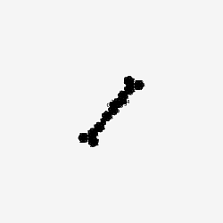 CC1(C)c2cc(-c3ccc(/C=C/c4ccc(-c5ccc6c(c5)c5ccccc5n6-c5ccccc5)cc4)cc3)ccc2-c2cc3c(cc21)-c1ccc(-c2ccc4c(c2)c2ccccc2n4-c2ccccc2)cc1C3(C)C